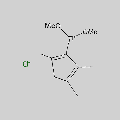 C[O][Ti+]([O]C)[C]1=C(C)CC(C)=C1C.[Cl-]